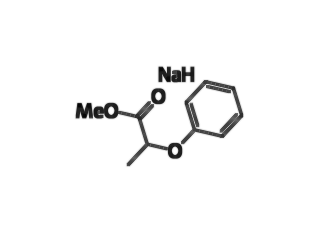 COC(=O)C(C)Oc1ccccc1.[NaH]